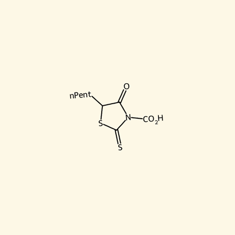 CCCCCC1SC(=S)N(C(=O)O)C1=O